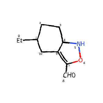 CCC1CCC2NOC(C=O)=C2C1